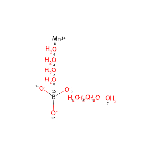 O.O.O.O.O.O.O.O.[Mn+3].[O-]B([O-])[O-]